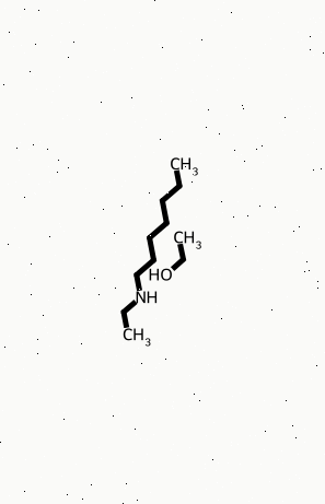 CCCCCCCNCC.CCO